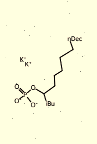 CCCCCCCCCCCCCCCC(OP(=O)([O-])[O-])C(C)CC.[K+].[K+]